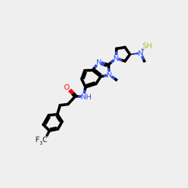 CN(S)[C@@H]1CCN(c2nc3ccc(NC(=O)CCc4ccc(C(F)(F)F)cc4)cc3n2C)C1